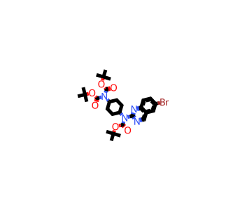 CC(C)(C)OC(=O)N(C(=O)OC(C)(C)C)C1CCC(N(C(=O)OC(C)(C)C)c2ncc3cc(Br)ccc3n2)CC1